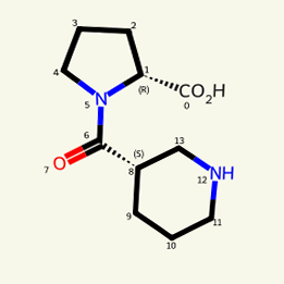 O=C(O)[C@H]1CCCN1C(=O)[C@H]1CCCNC1